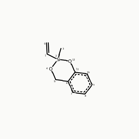 C=C[Si]1(C)OCc2ccccc2O1